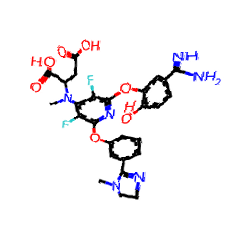 CN1CCN=C1c1cccc(Oc2nc(Oc3cc(C(=N)N)ccc3O)c(F)c(N(C)C(CC(=O)O)C(=O)O)c2F)c1